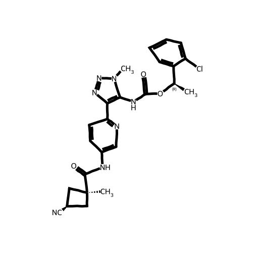 C[C@@H](OC(=O)Nc1c(-c2ccc(NC(=O)[C@]3(C)C[C@H](C#N)C3)cn2)nnn1C)c1ccccc1Cl